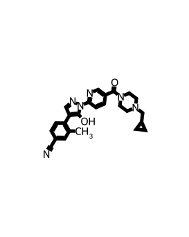 Cc1cc(C#N)ccc1-c1cnn(-c2ccc(C(=O)N3CCN(CC4CC4)CC3)cn2)c1O